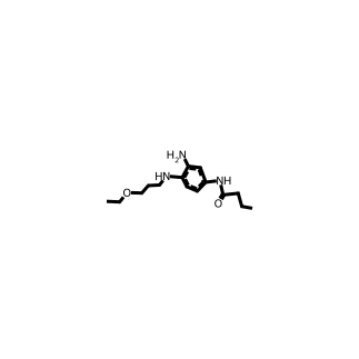 CCCC(=O)Nc1ccc(NCCCOCC)c(N)c1